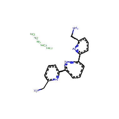 Cl.Cl.Cl.Cl.Cl.NCc1cccc(-c2cccc(-c3cccc(CN)n3)n2)n1